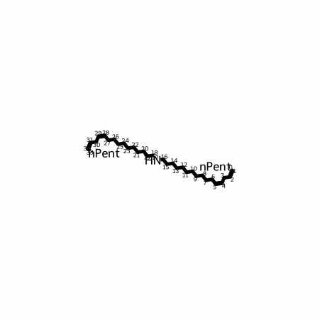 CCCCC/C=C\C/C=C\CCCCCCCCCCCNCCCCCCCCCC/C=C\C/C=C\CCCCC